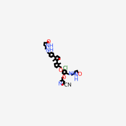 Cc1c(COc2cc(OCc3cncc(C#N)c3)c(CNCC3CCC(=O)N3)cc2Cl)cccc1-c1cccc(-c2ccc(CNCC3CCC(=O)N3)cc2)c1C